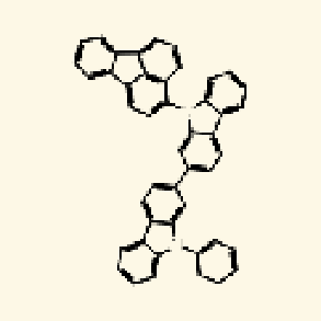 C1=CCCC(n2c3ccccc3c3ccc(-c4ccc5c6ccccc6n(-c6ccc7c8c(cccc68)-c6ccccc6-7)c5c4)cc32)=C1